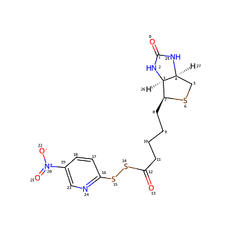 O=C1N[C@H]2[C@H](CS[C@H]2CCCCC(=O)SSc2ccc([N+](=O)[O-])cn2)N1